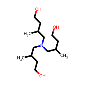 CC(CCO)CN(CC(C)CCO)CC(C)CCO